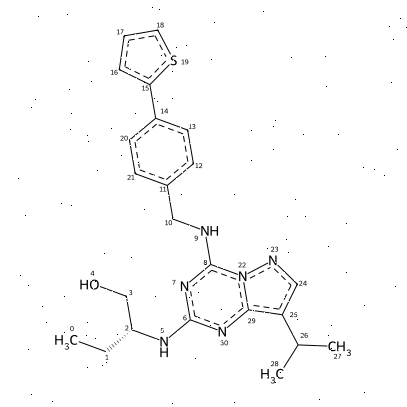 CC[C@H](CO)Nc1nc(NCc2ccc(-c3cccs3)cc2)n2ncc(C(C)C)c2n1